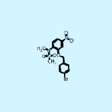 CN(c1ccc([N+](=O)[O-])cc1OCc1ccc(Br)cc1)S(C)(=O)=O